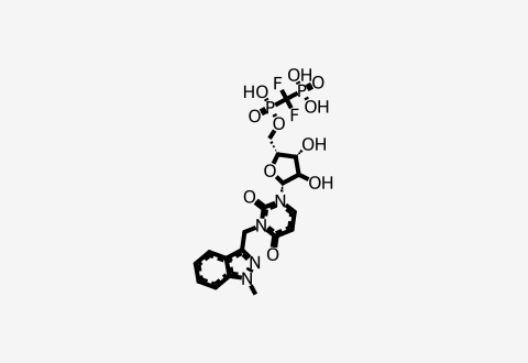 Cn1nc(Cn2c(=O)ccn([C@@H]3O[C@H](COP(=O)(O)C(F)(F)P(=O)(O)O)[C@H](O)C3O)c2=O)c2ccccc21